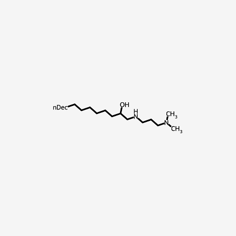 CCCCCCCCCCCCCCCCC(O)CNCCCN(C)C